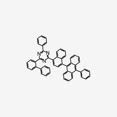 c1ccc(-c2nc(-c3ccccc3-c3ccccc3)nc(-c3ccc(-c4c5ccccc5c(-c5ccccc5)c5ccccc45)c4ccccc34)n2)cc1